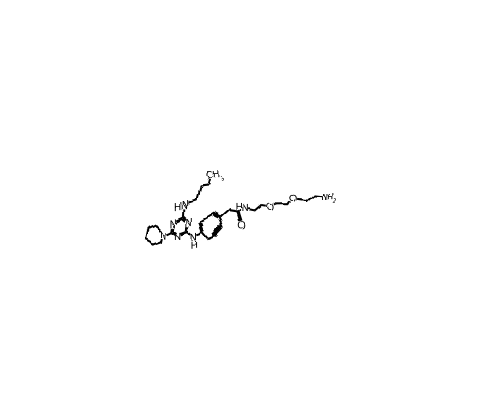 CCCCNc1nc(NC2=CC=C(CC(=O)NCCOCCOCCN)C#CC2)nc(N2CCCCC2)n1